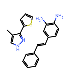 Cc1c[nH]nc1-c1cccs1.Nc1ccc(C=Cc2ccccc2)cc1N